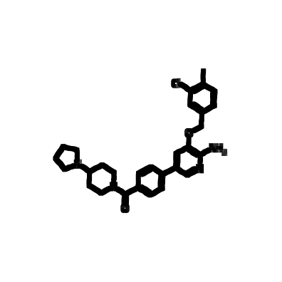 Cc1ccc(COc2cc(-c3ccc(C(=O)N4CCC(N5CCCC5)CC4)cc3)cnc2N)cc1Cl